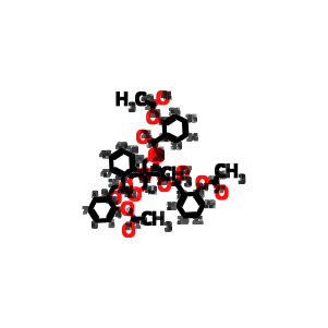 CC(=O)Oc1ccccc1COCC(COC(=O)c1ccccc1OC(C)=O)(COC(=O)c1ccccc1OC(C)=O)COC(=O)c1ccccc1OC(C)=O